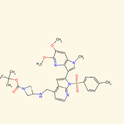 COc1cc2c(nc1OC)c(-c1cc3c(CNC4CN(C(=O)OC(C)(C)C)C4)ccnc3n1S(=O)(=O)c1ccc(C)cc1)cn2C